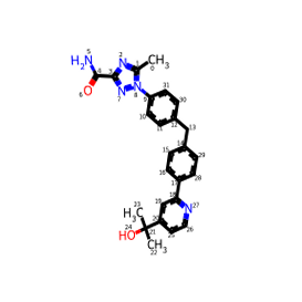 Cc1nc(C(N)=O)nn1-c1ccc(Cc2ccc(-c3cc(C(C)(C)O)ccn3)cc2)cc1